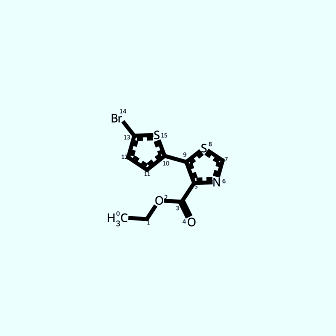 CCOC(=O)c1ncsc1-c1ccc(Br)s1